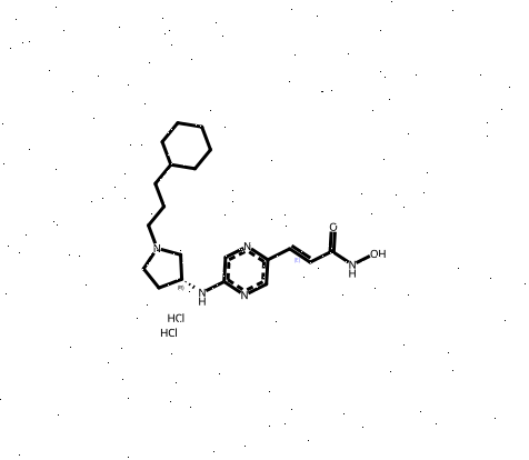 Cl.Cl.O=C(/C=C/c1cnc(N[C@@H]2CCN(CCCC3CCCCC3)C2)cn1)NO